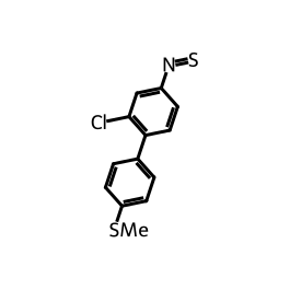 CSc1ccc(-c2ccc(N=S)cc2Cl)cc1